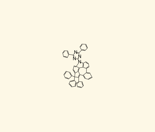 c1ccc(C2=C3c4ccccc4-c4cccc5c4c4c3c(ccc4n5-c3nc(-c4ccccc4)nc(-c4ccccc4)n3)C2(c2ccccc2)c2ccccc2)cc1